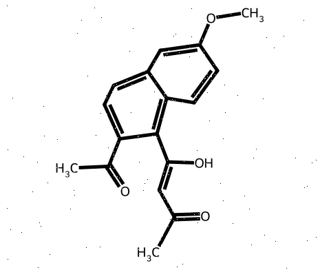 COc1ccc2c(/C(O)=C/C(C)=O)c(C(C)=O)ccc2c1